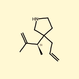 C=CCC1([C@@H](C)C(=C)C)CCNC1